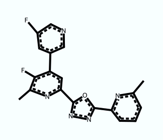 Cc1cccc(-c2nnc(-c3cc(-c4cncc(F)c4)c(F)c(C)n3)o2)n1